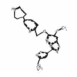 COc1cc2nnc(-c3cc(C)on3)n2nc1OCc1ccc(C2CCNCC2)cn1